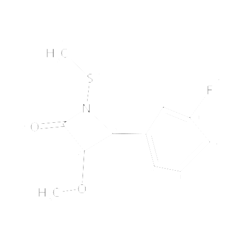 COC1C(=O)N(SC)C1c1cccc(F)c1